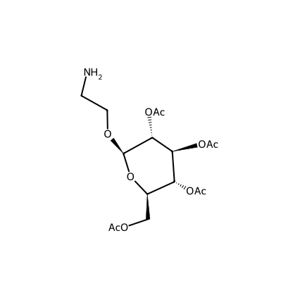 CC(=O)OC[C@H]1O[C@@H](OCCN)[C@H](OC(C)=O)[C@@H](OC(C)=O)[C@@H]1OC(C)=O